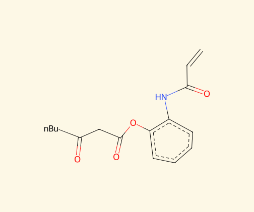 C=CC(=O)Nc1ccccc1OC(=O)CC(=O)CCCC